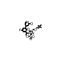 COc1cc(-c2cc(F)cc(C(C)C)c2Oc2nc(S(=O)(=O)Cl)nn2COCC[Si](C)(C)C)ccn1